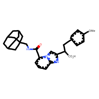 COc1ccc(CC(C(=O)O)c2cn3c(C(=O)NCC45CC6CC(CC(C6)C4)C5)cccc3n2)cc1